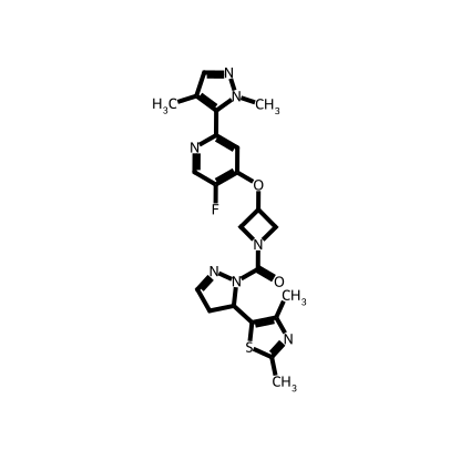 Cc1nc(C)c(C2CC=NN2C(=O)N2CC(Oc3cc(-c4c(C)cnn4C)ncc3F)C2)s1